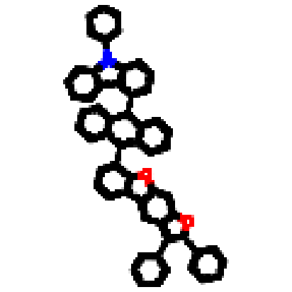 c1ccc(-c2oc3cc4oc5c(-c6c7ccccc7c(-c7cccc8c7c7ccccc7n8-c7ccccc7)c7ccccc67)cccc5c4cc3c2-c2ccccc2)cc1